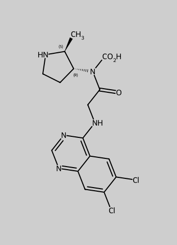 C[C@@H]1NCC[C@H]1N(C(=O)O)C(=O)CNc1ncnc2cc(Cl)c(Cl)cc12